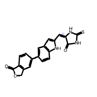 O=C1NC(=S)N/C1=C/c1cc2cc(-c3ccc4c(c3)COC4=O)ccc2[nH]1